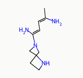 C/C(N)=C/C=C(\N)N1CC2(CCN2)C1